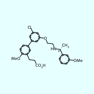 COc1cccc([C@@H](C)NCCOc2cc(Cl)cc(-c3ccc(OC)c(CCC(=O)O)c3)c2)c1